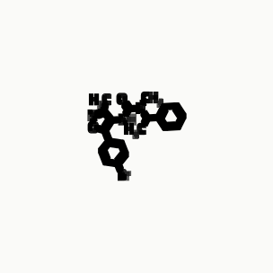 Cc1noc(-c2ccc(Br)cc2)c1NC(=O)N(C)C(C)c1ccccc1